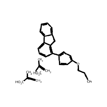 C=C(C)C(=O)O.C=C(C)C(=O)O.OCCOc1ccc(-c2cccc3c2Cc2ccccc2-3)cc1